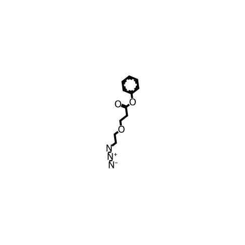 [N-]=[N+]=NCCOCCC(=O)Oc1ccccc1